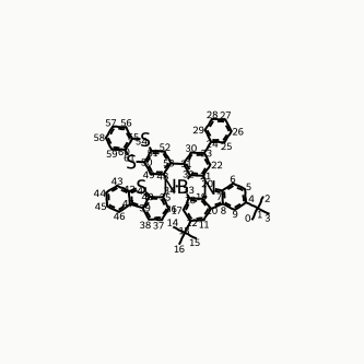 CC(C)(C)c1ccc2c(c1)c1cc(C(C)(C)C)cc3c1n2-c1cc(-c2ccccc2)cc2c1B3N(c1cccc3c1sc1ccccc13)c1cc3c(cc1-2)Sc1ccccc1S3